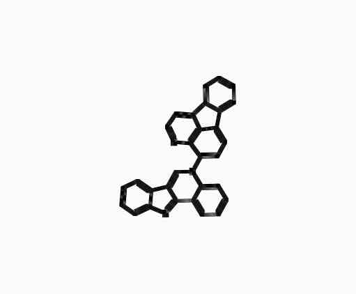 c1ccc2c(c1)-c1ccnc3c(-n4cc5c6ccccc6nc-5c5ccccc54)ccc-2c13